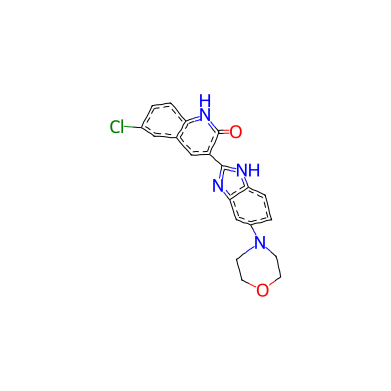 O=c1[nH]c2ccc(Cl)cc2cc1-c1nc2cc(N3CCOCC3)ccc2[nH]1